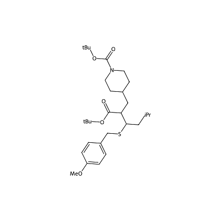 COc1ccc(CSC(CC(C)C)C(CC2CCN(C(=O)OC(C)(C)C)CC2)C(=O)OC(C)(C)C)cc1